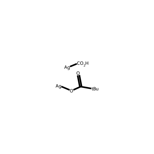 CC(C)(C)C(=O)[O][Ag].O=[C](O)[Ag]